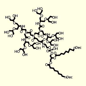 CCCCCCCCCCCCCCCCCC(=O)OCC(COP(=O)(O)OCCNC(=O)CCC(=O)N(CC(=O)N(CC(=O)NC(COC(CO)CO)COC(CO)CO)CC(=O)NC(COC(CO)CO)COC(CO)CO)CC(=O)N(CC(=O)NC(COC(CO)CO)COC(CO)CO)CC(=O)NC(COC(CO)CO)COC(CO)CO)OC(=O)CCCCCCCCCCCCCCCCC